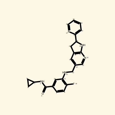 O=C(NC1CC1)c1ccc(F)c(NCc2cnc3c(c2)CC(c2ccccn2)N3)c1